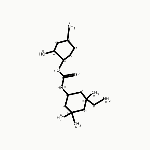 CC1CCC(OC(=O)NC2CC(C)(C)CC(C)(CN)C2)C(O)C1